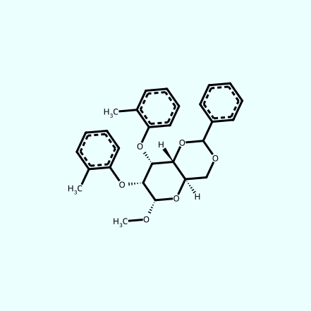 CO[C@H]1O[C@@H]2COC(c3ccccc3)O[C@H]2[C@@H](Oc2ccccc2C)[C@H]1Oc1ccccc1C